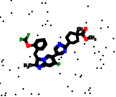 COC(=O)C1(C)CCC(c2ncc(-c3cn4c(Cc5ccccc5OC(F)F)c(C)nc4cc3F)cn2)CC1